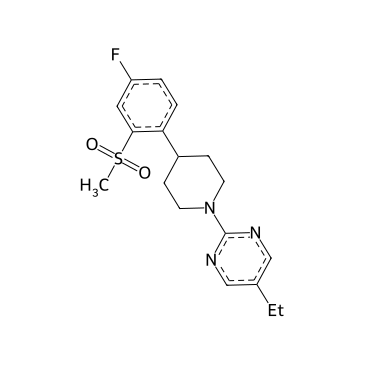 CCc1cnc(N2CCC(c3ccc(F)cc3S(C)(=O)=O)CC2)nc1